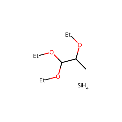 CCOC(C)C(OCC)OCC.[SiH4]